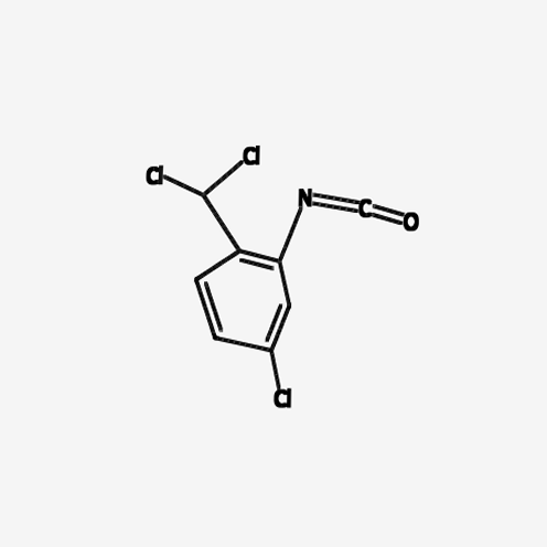 O=C=Nc1cc(Cl)ccc1C(Cl)Cl